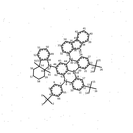 CC(C)(C)c1ccc(N2c3ccc(C(C)(C)C)cc3B3c4cc(C(C)(C)C)ccc4N(c4cccc5c4sc4ccccc45)c4cc(N5c6ccccc6C6(C)CCCCC56C)cc2c43)cc1